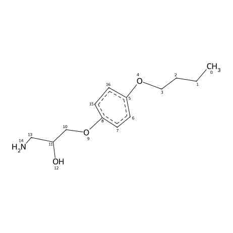 CCCCOc1ccc(OCC(O)CN)cc1